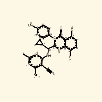 Cc1nc(N)c(C#N)c(N[C@H](c2nc3c(F)ccc(Cl)c3c(=O)n2-c2ccc(N)nc2)C2CC2)n1